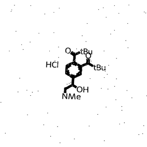 CNCC(O)c1ccc(C(=O)C(C)(C)C)c(C(=O)C(C)(C)C)c1.Cl